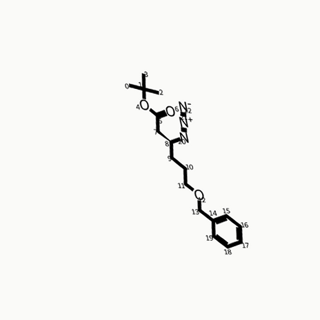 CC(C)(C)OC(=O)C[C@H](CCCOCc1ccccc1)N=[N+]=[N-]